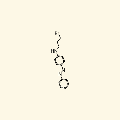 BrCCCNc1ccc(/N=N/c2ccccc2)cc1